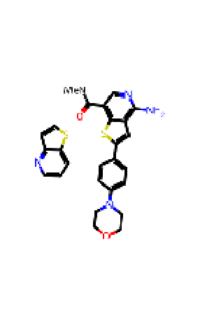 CNC(=O)c1cnc(N)c2cc(-c3ccc(N4CCOCC4)cc3)sc12.c1cnc2ccsc2c1